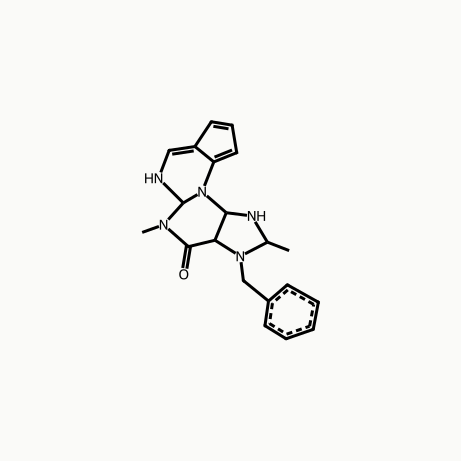 CC1NC2C(C(=O)N(C)C3NC=C4C=CC=C4N23)N1Cc1ccccc1